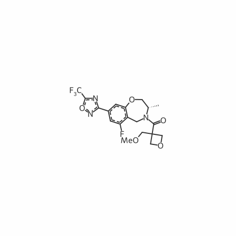 COCC1(C(=O)N2Cc3c(F)cc(-c4noc(C(F)(F)F)n4)cc3OC[C@@H]2C)COC1